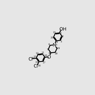 Oc1ccc(N2CCC(Oc3ccc(Cl)c(Cl)c3)CC2)cc1